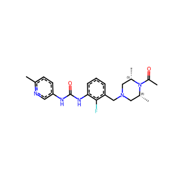 CC(=O)N1[C@H](C)CN(Cc2cccc(NC(=O)Nc3ccc(C)nc3)c2F)C[C@@H]1C